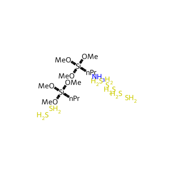 CCC[Si](OC)(OC)OC.CCC[Si](OC)(OC)OC.N.S.S.S.S.S.S.S